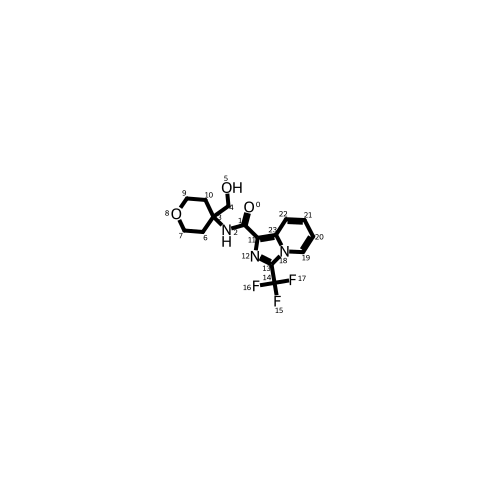 O=C(NC1(CO)CCOCC1)c1nc(C(F)(F)F)n2ccccc12